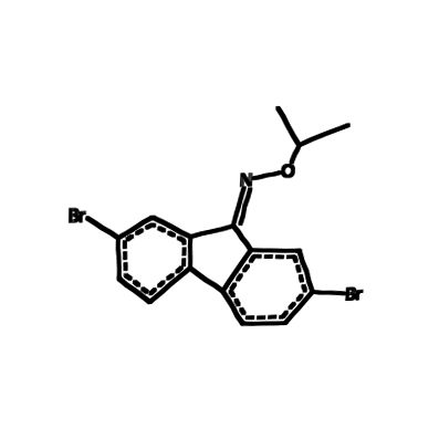 CC(C)ON=C1c2cc(Br)ccc2-c2ccc(Br)cc21